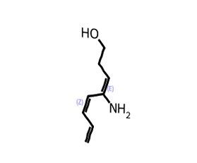 C=C/C=C\C(N)=C/CCO